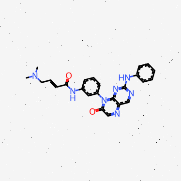 CN(C)CC=CC(=O)Nc1cccc(-n2c(=O)cnc3cnc(Nc4ccccc4)nc32)c1